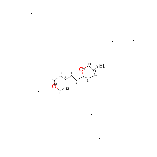 CCC1CCC(CCC2CCOCC2)OC1